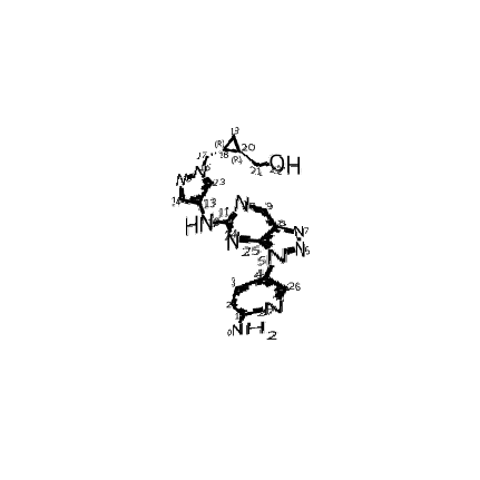 Nc1ccc(-n2nnc3cnc(Nc4cnn(C[C@@H]5C[C@H]5CO)c4)nc32)cn1